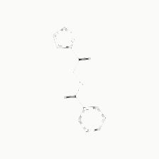 O=C(NCC(=O)c1ccco1)c1ccccc1